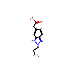 CCCn1nc2ccc(CC(=O)O)cc2n1